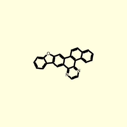 c1ccc2c(c1)ccc1c3cc4oc5ccccc5c4cc3c3nccnc3c21